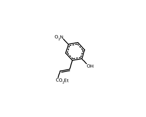 CCOC(=O)/C=C/c1cc([N+](=O)[O-])ccc1O